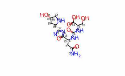 NC(=O)C[C@H](NC(=O)NC(CO)C(=O)O)c1nc([C@@H]2C[C@@H](O)CN2)no1